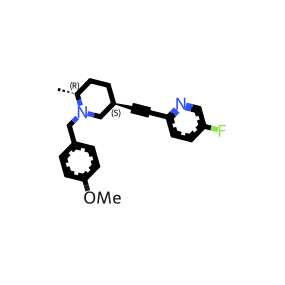 COc1ccc(CN2C[C@H](C#Cc3ccc(F)cn3)CC[C@H]2C)cc1